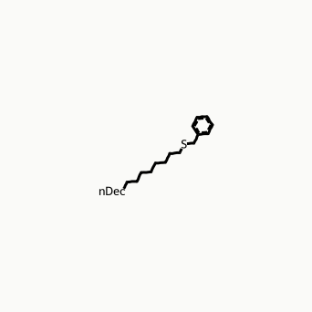 CCCCCCCCCCCCCCCCCCSCc1ccccc1